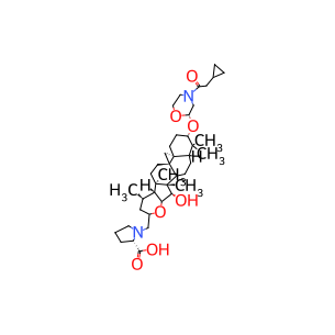 C[C@@H]1CC(CN2CCC[C@H]2C(=O)O)OC2[C@H]1[C@@]1(C)CC[C@@]34C[C@@]35CC[C@H](O[C@H]3CN(C(=O)CC6CC6)CCO3)C(C)(C)[C@@H]5CCC4[C@]1(C)[C@H]2O